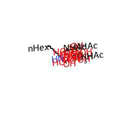 CCCCCC/C=C\CCCCCCCC(=O)NC1C(OC2C(CO)OC(OC3C(CO)OC(OC4C(COS(=O)(=O)O)OC(O)C(NC(C)=O)C4O)C(NC(C)=O)C3O)C(NC(C)=O)C2O)OC(CO)C(O)C1O